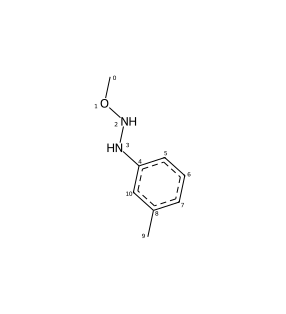 CONNc1cccc(C)c1